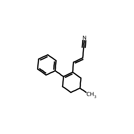 CC1CCC(c2ccccc2)=C(C=CC#N)C1